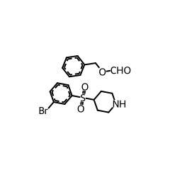 O=COCc1ccccc1.O=S(=O)(c1cccc(Br)c1)C1CCNCC1